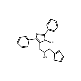 CCCCN(Cc1nccs1)Cc1c(-c2ccccc2)nc(-c2ccccc2)n1CCCC